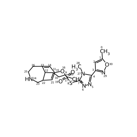 Cc1cc(-c2nnc(SCCCC3C4=CC(OS(C)(=O)=O)=CC3CNCC4)n2C)no1